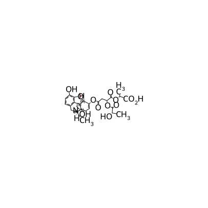 CC(O)C(=O)OC(CC(=O)OC1=CC[C@@]2(O)[C@H]3Cc4ccc(O)c5c4[C@@]2(CCN3C)[C@H]1O5)C(=O)OC(C)C(=O)O